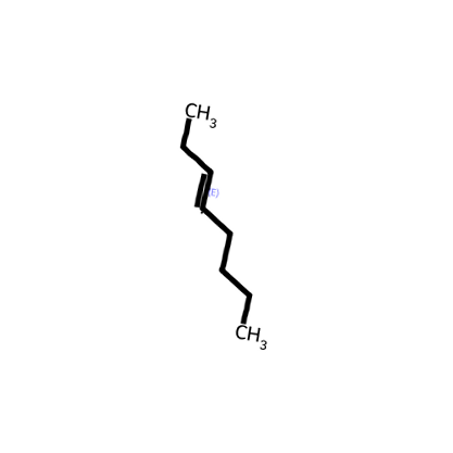 CC/C=[C]/CCCC